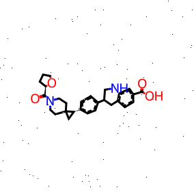 O=C(O)c1ccc2c(c1)NCC(c1ccc([C@@H]3CC34CCN(C(=O)[C@H]3CCCO3)CC4)cc1)C2